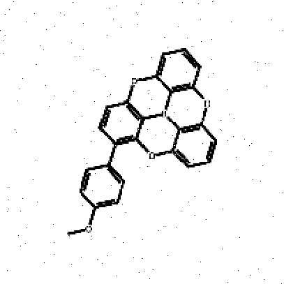 COc1ccc(-c2ccc3c4c2Oc2cccc5c2B4c2c(cccc2O3)O5)cc1